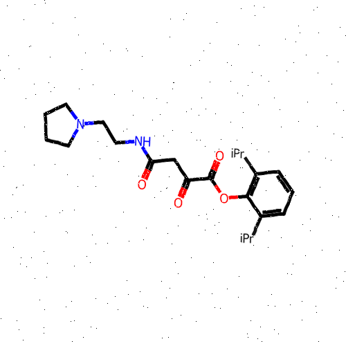 CC(C)c1cccc(C(C)C)c1OC(=O)C(=O)CC(=O)NCCN1CCCC1